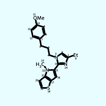 CCc1cn(CCCc2ccc(OC)cc2)c(-c2cc3sccc3n2C)n1